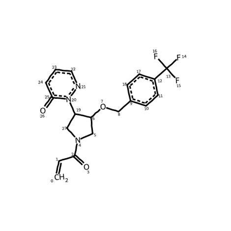 C=CC(=O)N1CC(OCc2ccc(C(F)(F)F)cc2)C(n2ncccc2=O)C1